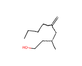 C=C(CCCC)CC(C)CCO